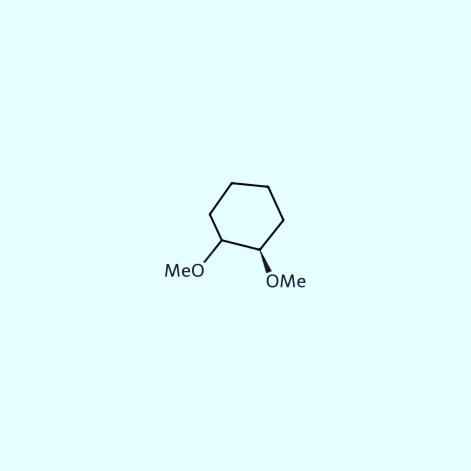 COC1CCCC[C@H]1OC